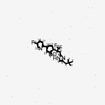 CC(C)(C)Cc1c[nH]c(CC(O)(c2ccc(-c3ccc(F)cn3)cc2F)C(F)F)n1